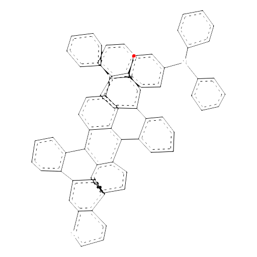 c1ccc(N(c2ccccc2)c2ccc(N(c3ccccc3)c3ccc4c(-c5ccccc5-c5ccc6cccnc6c5)c5ccccc5c(-c5ccccc5-c5ccc6cccnc6c5)c4c3)cc2)cc1